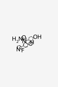 NC1=NC2(CO1)c1cc(-c3cccnc3F)ccc1O[C@@H]1CC(O)CCC12